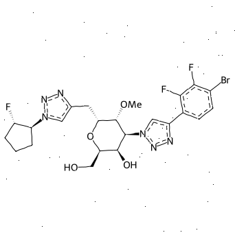 CO[C@@H]1[C@@H](n2cc(-c3ccc(Br)c(F)c3F)nn2)[C@@H](O)[C@@H](CO)O[C@@H]1Cc1cn([C@H]2CCC[C@@H]2F)nn1